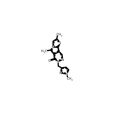 Cc1cn2c(C)c3c(=O)n(Cc4ccn(C)n4)ncc3c2s1